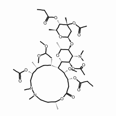 CCC(=O)O[C@@H]1CC(=O)O[C@H](C)CCN(C)N(C)C[C@H](OC(C)=O)[C@H](C)C[C@H](CC(OC)OC)[C@H]([C@@H]2O[C@H](C)[C@@H](O[C@@H]3C[C@@](C)(OC(C)=O)[C@@H](OC(=O)CC)[C@H](C)O3)[C@H](N(C)C)[C@H]2OC(C)=O)[C@@H]1OC